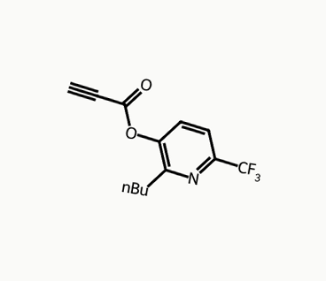 C#CC(=O)Oc1ccc(C(F)(F)F)nc1CCCC